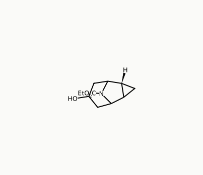 CCOC(=O)N1C2CC(O)CC1[C@@H]1CC21